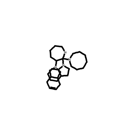 C1=CCC2CN(C3CCCC[N]C3(N3CCCCCCC3)N3CCC4CCCCC43)CC2C1